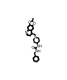 CC1Oc2cc3nccc(CN4CCC(NC(=O)NCc5ccccc5)CC4)c3cc2O1